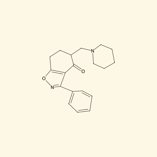 O=C1c2c(-c3ccccc3)noc2CCC1CN1CCCCC1